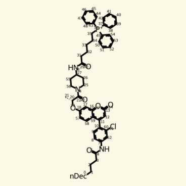 CCCCCCCCCCCCCC(=O)Nc1ccc(-c2cc(=O)oc3cc(O[C@H](C)C(=O)N4CCC(NC(=O)CCCCC[P+](c5ccccc5)(c5ccccc5)c5ccccc5)CC4)ccc23)c(Cl)c1